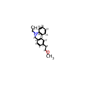 CCN(Cc1ccc(CCOC)cc1)c1ccccc1